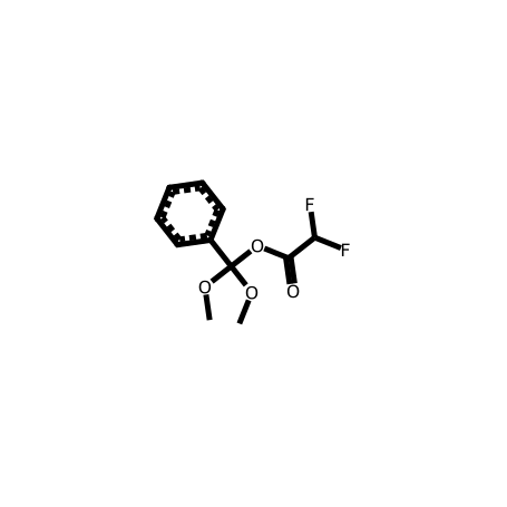 COC(OC)(OC(=O)C(F)F)c1ccccc1